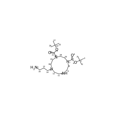 CC(C)(C)OC(=O)N1CCNCCN(CCCN)CCN(C(=O)OC(C)(C)C)CC1